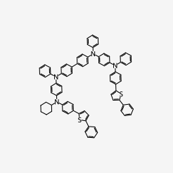 c1ccc(-c2ccc(-c3ccc(N(c4ccccc4)c4ccc(N(c5ccccc5)c5ccc(-c6ccc(N(c7ccccc7)c7ccc(N(c8ccc(-c9ccc(-c%10ccccc%10)s9)cc8)C8CCCCC8)cc7)cc6)cc5)cc4)cc3)s2)cc1